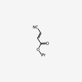 CC(C)OC(=O)C=CC#N